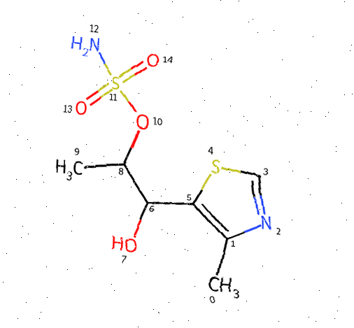 Cc1ncsc1C(O)C(C)OS(N)(=O)=O